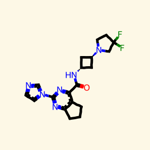 O=C(N[C@H]1C[C@H](N2CCC(F)(F)C2)C1)c1nc(-n2ccnc2)nc2c1CCC2